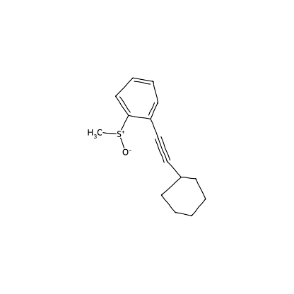 C[S+]([O-])c1ccccc1C#CC1CCCCC1